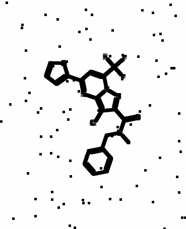 CN(Cc1ccccc1)C(=O)c1nn2c(C(F)(F)F)cc(-c3ccco3)nc2c1Cl